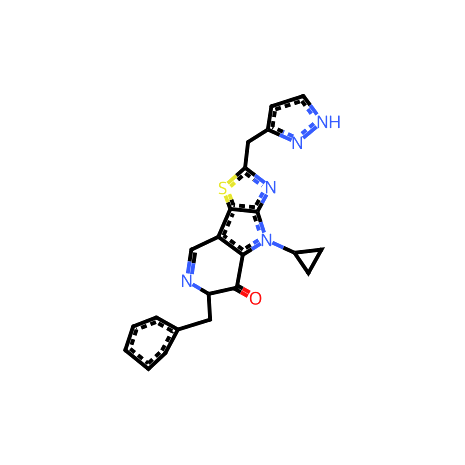 O=C1c2c(c3sc(Cc4cc[nH]n4)nc3n2C2CC2)C=NC1Cc1ccccc1